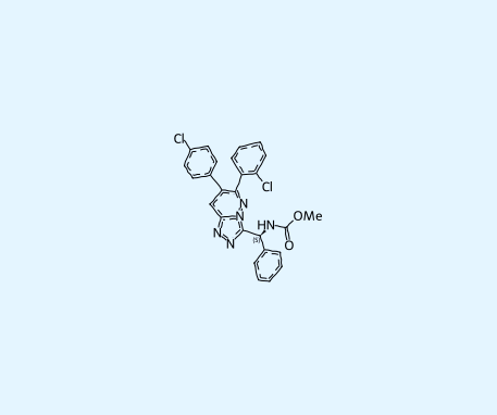 COC(=O)N[C@@H](c1ccccc1)c1nnc2cc(-c3ccc(Cl)cc3)c(-c3ccccc3Cl)nn12